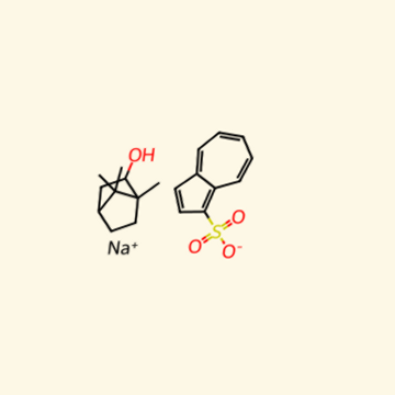 CC1(C)C2CCC1(C)C(O)C2.O=S(=O)([O-])c1ccc2cccccc1-2.[Na+]